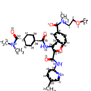 CCOCCN(C)C(=O)c1ccc2oc(C(=O)Nc3ccc(C)cn3)c(NC(=O)[C@H]3CC[C@H](C(=O)N(C)C)CC3)c2c1